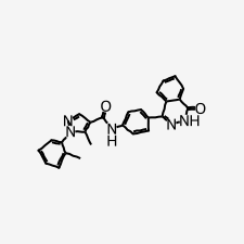 Cc1ccccc1-n1ncc(C(=O)Nc2ccc(-c3n[nH]c(=O)c4ccccc34)cc2)c1C